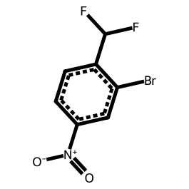 O=[N+]([O-])c1ccc(C(F)F)c(Br)c1